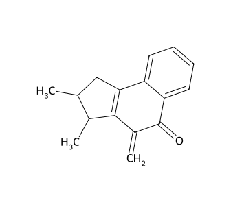 C=C1C(=O)c2ccccc2C2=C1C(C)C(C)C2